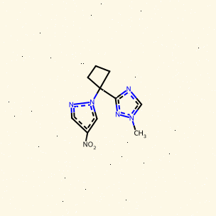 Cn1cnc(C2(n3cc([N+](=O)[O-])cn3)CCC2)n1